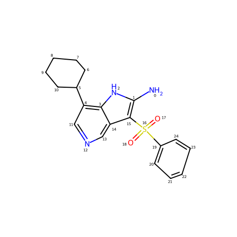 Nc1[nH]c2c(C3CCCCC3)cncc2c1S(=O)(=O)c1ccccc1